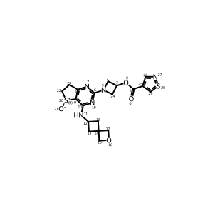 O=C(OC1CN(c2nc3c(c(NC4CC5(COC5)C4)n2)[S@@+]([O-])CC3)C1)c1cnsc1